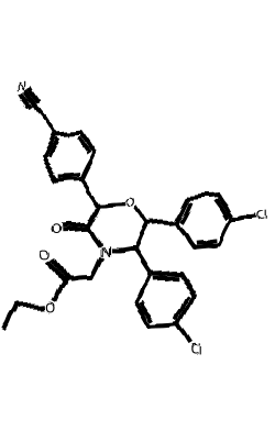 CCOC(=O)CN1C(=O)C(c2ccc(C#N)cc2)OC(c2ccc(Cl)cc2)C1c1ccc(Cl)cc1